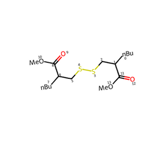 CCCCC(CSSCC(CCCC)C(=O)OC)C(=O)OC